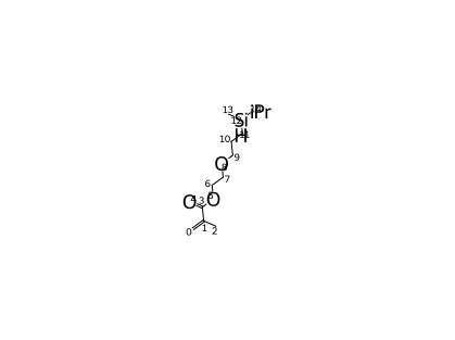 C=C(C)C(=O)OCCOCCC[SiH](C)C(C)C